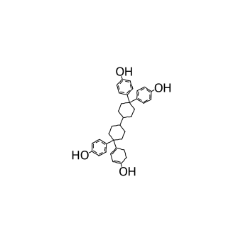 OC1=CC=C(C2(c3ccc(O)cc3)CCC(C3CCC(c4ccc(O)cc4)(c4ccc(O)cc4)CC3)CC2)CC1